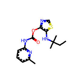 CCC(C)(C)Nc1scnc1OC(=O)Nc1cccc(C)n1